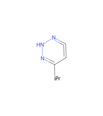 CC(C)C1=NNN=C=C1